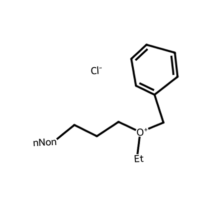 CCCCCCCCCCCC[O+](CC)Cc1ccccc1.[Cl-]